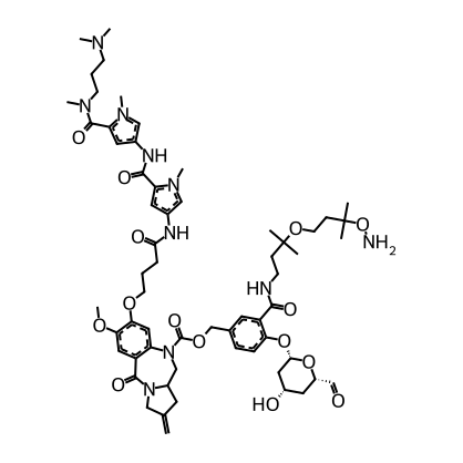 C=C1CC2CN(C(=O)OCc3ccc(O[C@H]4C[C@@H](O)C[C@@H](C=O)O4)c(C(=O)NCCC(C)(C)OCCC(C)(C)ON)c3)c3cc(OCCCC(=O)Nc4cc(C(=O)Nc5cc(C(=O)N(C)CCCN(C)C)n(C)c5)n(C)c4)c(OC)cc3C(=O)N2C1